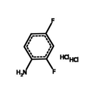 Cl.Cl.Nc1ccc(F)cc1F